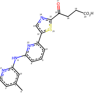 Cc1ccnc(Nc2cccc(-c3cnc(C(=O)CCC(=O)O)s3)n2)c1